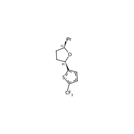 CC(C)[C@@H]1CC[C@H](c2ccc(C(F)(F)F)s2)O1